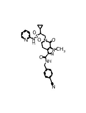 Cn1nc(C(=O)NCc2ccc(C#N)cc2)c2c1C(=O)N(CC(C1CC1)S(=O)(=O)Nc1ccccn1)CC2